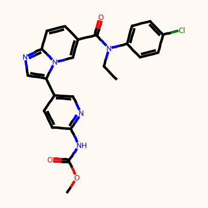 CCN(C(=O)c1ccc2ncc(-c3ccc(NC(=O)OC)nc3)n2c1)c1ccc(Cl)cc1